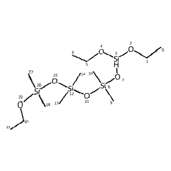 CCO[SiH](OCC)O[Si](C)(C)O[Si](C)(C)O[Si](C)(C)OCC